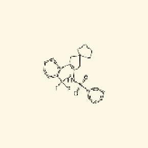 O=S(=O)(NC1=C(c2ccccc2C(F)(F)F)CC2(CCCC2)C1)c1ccccc1